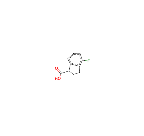 O=C(O)C1CCc2c(F)cccc21